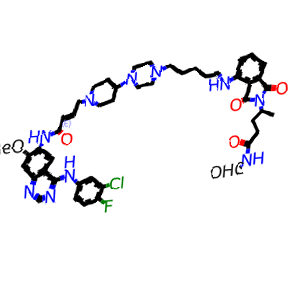 COc1cc2ncnc(Nc3ccc(F)c(Cl)c3)c2cc1NC(=O)/C=C/CN1CCC(N2CCN(CCCCCNc3cccc4c3C(=O)N(C(C)CCC(=O)NC=O)C4=O)CC2)CC1